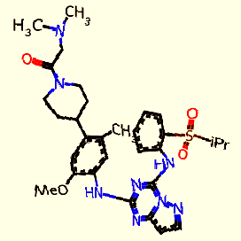 COc1cc(C2CCN(C(=O)CN(C)C)CC2)c(C)cc1Nc1nc(Nc2ccccc2S(=O)(=O)C(C)C)n2nccc2n1